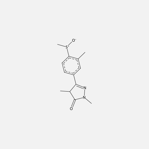 Cc1cc(C2=NN(C)C(=O)C2C)ccc1[S+](C)[O-]